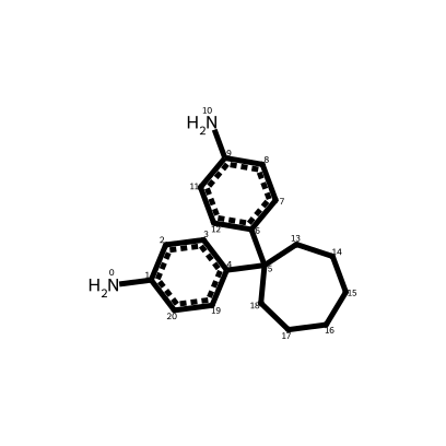 Nc1ccc(C2(c3ccc(N)cc3)CCCCCC2)cc1